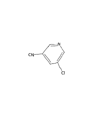 [C-]#[N+]c1cncc(Cl)c1